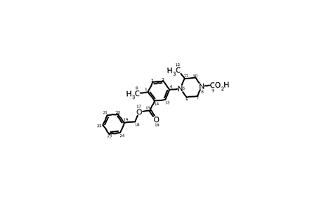 Cc1ccc(N2CCN(C(=O)O)CC2C)cc1C(=O)OCc1ccccc1